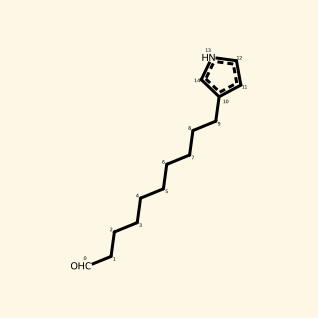 O=CCCCCCCCCCc1cc[nH]c1